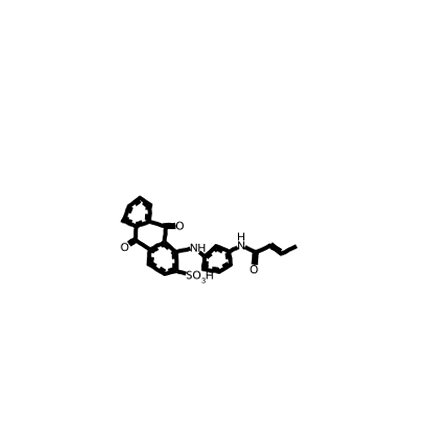 CC=CC(=O)Nc1cccc(Nc2c(S(=O)(=O)O)ccc3c2C(=O)c2ccccc2C3=O)c1